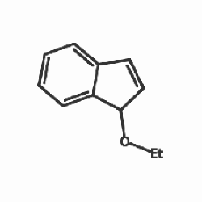 CCOC1C=Cc2ccccc21